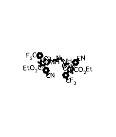 CCOC(=O)C1=C(C)N(c2cccc(C(F)(F)F)c2)C(=O)N(CC(=O)NCCN(C)CCNC(=O)CN2C(=O)N(c3cccc(C(F)(F)F)c3)C(C)=C(C(=O)OCC)[C@H]2c2ccc(C#N)cc2)[C@@H]1c1ccc(C#N)cc1